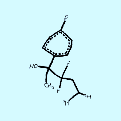 [2H]C([2H])CC(F)(F)C(C)(O)c1ccc(F)cc1